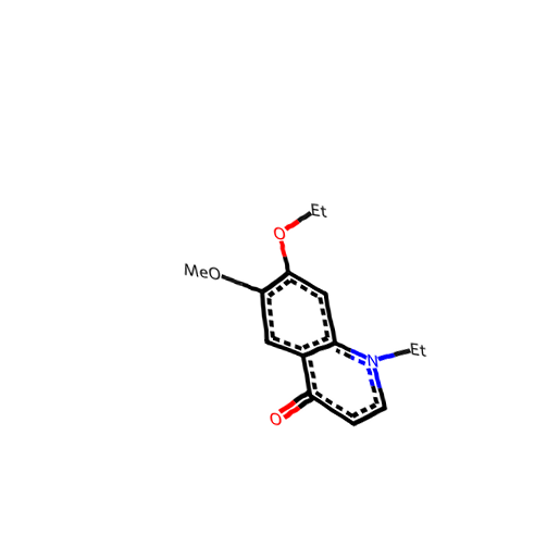 CCOc1cc2c(cc1OC)c(=O)ccn2CC